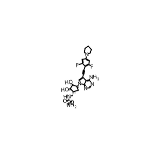 Nc1ncnc2c1c(C#Cc1c(F)cc(N3CCCCC3)cc1F)cn2[C@@H]1C[C@H](CNS(N)(=O)=O)[C@@H](O)[C@H]1O